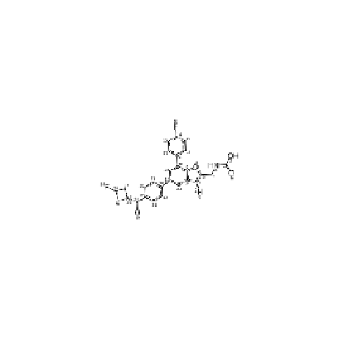 [2H]c1c(CNC(=O)O)oc2c(-c3ccc(F)cc3)cc(-c3ccc(C(=O)N4CC(F)C4)cc3)cc12